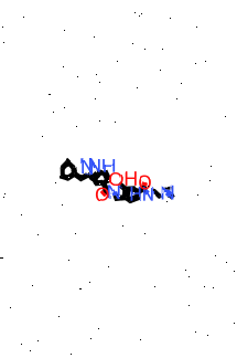 CN(C)CCNC(=O)c1ccc2c(c1)CN(C(=O)c1cc3c(CC4CCCCC4)n[nH]c3cc1O)C2